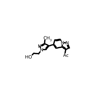 CC(=O)c1cnn2ccc(-c3cn(CCO)nc3C)cc12